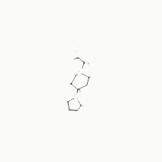 CC(=O)[C@@H](C)[C@H](C)N1CCC(N2CCCC2)CC1